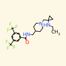 CCNC1(CN2CCC(CNC(=O)c3cc(C(F)(F)F)cc(C(F)(F)F)c3)CC2)CC1